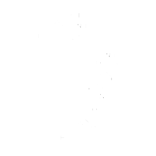 CCOC(=O)COc1ccc2cc(S(=O)(=O)NC3CCC(C(=O)NC(C)c4ccc(F)cc4)CC3)ccc2n1